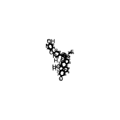 C[C@]12C=CC(=O)C=C1CCC1C3CC[C@](OC(=O)c4ccc(Oc5ccc(O)nc5)nc4)(C(=O)SCF)[C@@]3(C)C[C@H](O)C12F